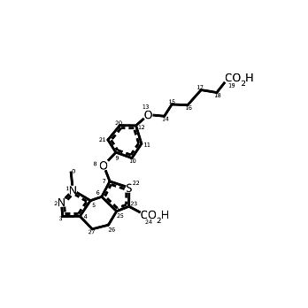 Cn1ncc2c1-c1c(Oc3ccc(OCCCCCC(=O)O)cc3)sc(C(=O)O)c1CC2